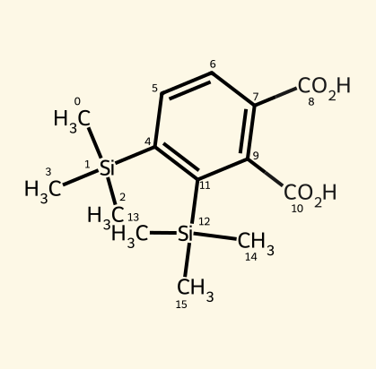 C[Si](C)(C)c1ccc(C(=O)O)c(C(=O)O)c1[Si](C)(C)C